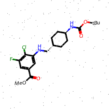 COC(=O)c1cc(F)c(Cl)c(NC[C@H]2CC[C@H](NC(=O)OC(C)(C)C)CC2)c1